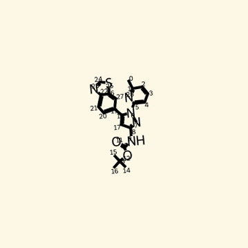 Cc1cccc(-n2nc(NC(=O)OC(C)(C)C)cc2-c2ccc3ncsc3c2)n1